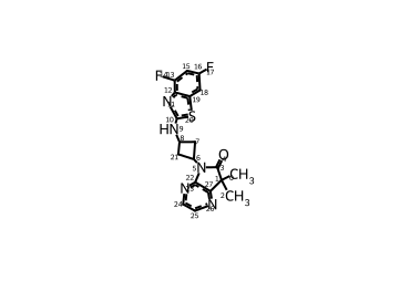 CC1(C)C(=O)N(C2CC(Nc3nc4c(F)cc(F)cc4s3)C2)c2nccnc21